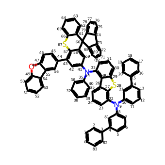 c1ccc(-c2cccc(N(c3cccc(-c4ccccc4)c3)c3cccc4c3sc3cccc(N(c5ccccc5)c5cc(-c6ccc7oc8ccccc8c7c6)c6c(c5)C5(c7ccccc7S6)c6ccccc6-c6ccccc65)c34)c2)cc1